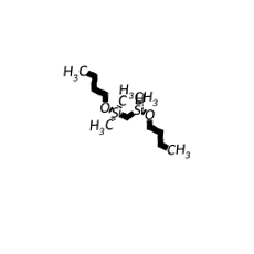 CCCCO[SiH](C)C[Si](C)(C)OCCCC